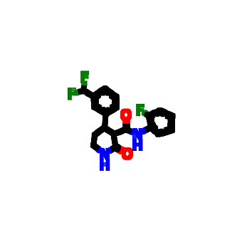 O=C1NCCC(c2cccc(C(F)F)c2)C1C(=O)Nc1ccccc1F